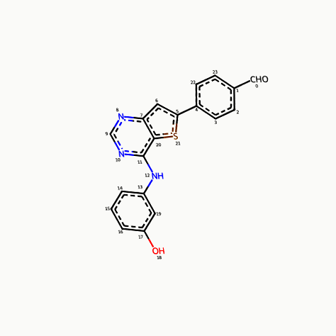 O=Cc1ccc(-c2cc3ncnc(Nc4cccc(O)c4)c3s2)cc1